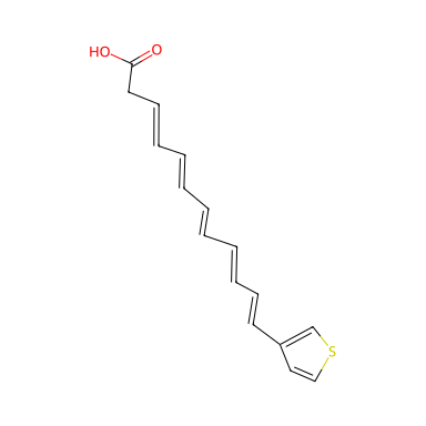 O=C(O)CC=CC=CC=CC=CC=Cc1ccsc1